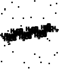 C[C@H](NC(=O)CNC(=O)[C@H](C)NC(=O)CNC(=O)[C@H](C)NC(=O)CNC(=O)[C@H](C)NC(=O)CNC(=O)[C@H](C)NC(=O)CNC(=O)[C@H](C)NC(=O)CN)C(=O)O